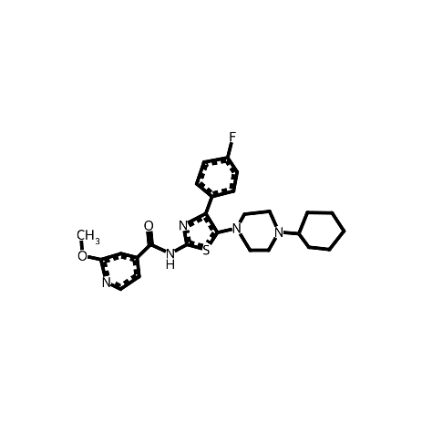 COc1cc(C(=O)Nc2nc(-c3ccc(F)cc3)c(N3CCN(C4CCCCC4)CC3)s2)ccn1